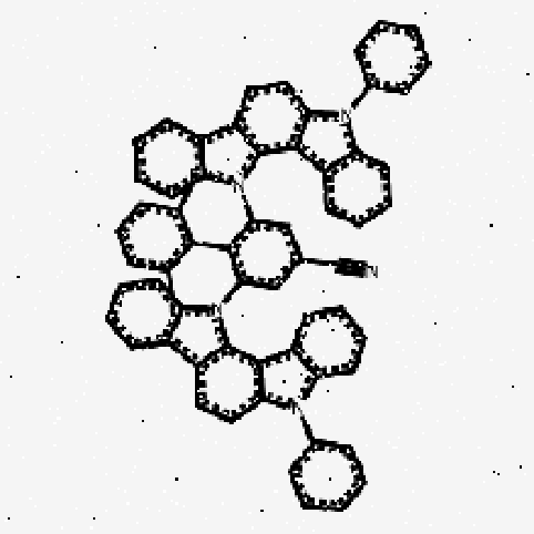 N#Cc1cc(-n2c3ccccc3c3ccc4c(c5ccccc5n4-c4ccccc4)c32)c(-c2c(F)cccc2F)c(-n2c3ccccc3c3ccc4c(c5ccccc5n4-c4ccccc4)c32)c1